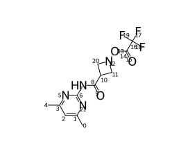 Cc1cc(C)nc(NC(=O)C2CN(OC(=O)C(F)(F)F)C2)n1